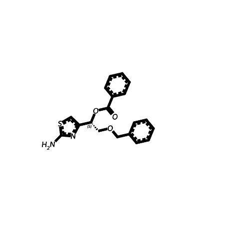 Nc1nc([C@@H](COCc2ccccc2)OC(=O)c2ccccc2)cs1